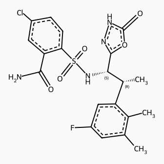 Cc1cc(F)cc([C@@H](C)[C@H](NS(=O)(=O)c2ccc(Cl)cc2C(N)=O)c2n[nH]c(=O)o2)c1C